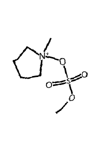 COS(=O)(=O)O[N+]1(C)CCCC1